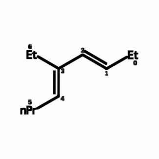 CCC=CC(=CCCC)CC